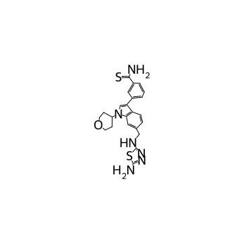 NC(=S)c1cccc(-c2cn(C3CCOCC3)c3cc(CNc4nnc(N)s4)ccc23)c1